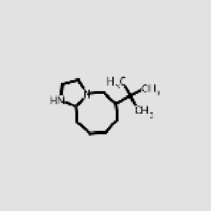 CC(C)(C)C1CCCCC2NCCN2C1